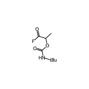 CC(OC(=O)NC(C)(C)C)C(=O)F